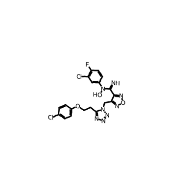 N=C(c1nonc1Cn1nnnc1CCOc1ccc(Cl)cc1)N(O)c1ccc(F)c(Cl)c1